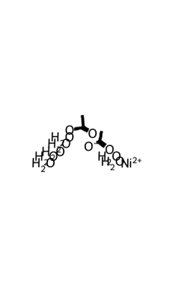 CC(=O)[O-].CC(=O)[O-].O.O.O.O.O.O.O.[Ni+2]